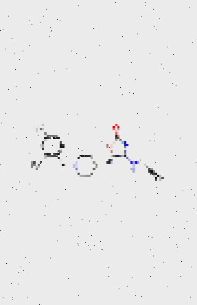 C#CCNC1=NC(=O)O/C1=C\C1CCN(Cc2ccc(C(F)(F)F)cc2C(F)(F)F)CC1